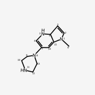 CN1C=CC2NC=C(N3CCNCC3)C=C21